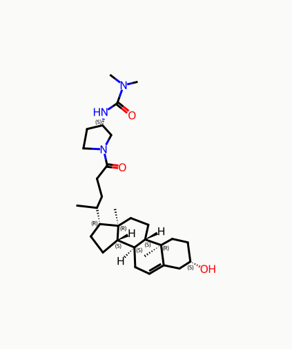 CC(CCC(=O)N1CC[C@H](NC(=O)N(C)C)C1)[C@H]1CC[C@H]2[C@@H]3CC=C4C[C@@H](O)CC[C@]4(C)[C@H]3CC[C@]12C